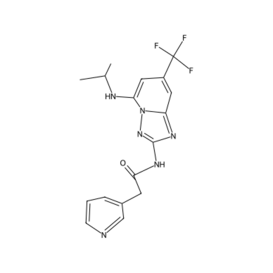 CC(C)Nc1cc(C(F)(F)F)cc2nc(NC(=O)Cc3cccnc3)nn12